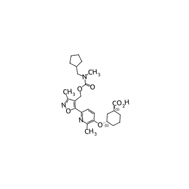 Cc1nc(-c2onc(C)c2COC(=O)N(C)CC2CCCC2)ccc1O[C@H]1CCC[C@H](C(=O)O)C1